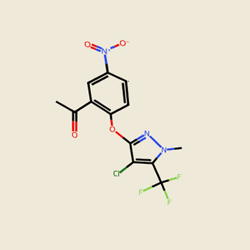 CC(=O)c1cc([N+](=O)[O-])[c]cc1Oc1nn(C)c(C(F)(F)F)c1Cl